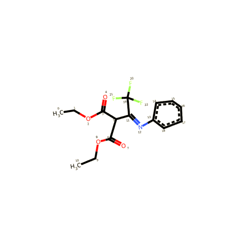 CCOC(=O)C(C(=O)OCC)C(=Nc1ccccc1)C(F)(F)F